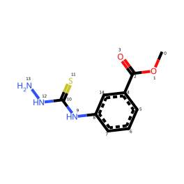 COC(=O)c1cccc(NC(=S)NN)c1